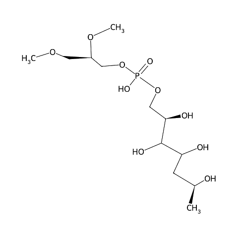 COC[C@H](COP(=O)(O)OC[C@@H](O)C(O)C(O)C[C@H](C)O)OC